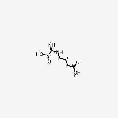 N=C(NCCCC(=O)O)S(=O)O